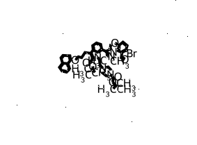 Cc1c(-c2cccc3c(CCCOc4cccc5ccccc45)c(C(=O)OC(C)(C)C)n(CCN4CCN(C(=O)OC(C)(C)C)CC4)c23)c(COc2ccc(Br)c(C=O)c2)nn1C